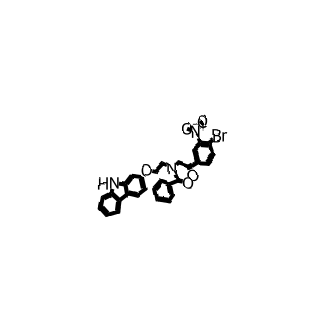 O=C(CN(CCOc1ccc2c(c1)[nH]c1ccccc12)C(=O)c1ccccc1)c1ccc(Br)c([N+](=O)[O-])c1